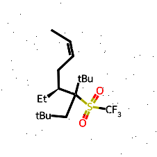 C/C=C\C[C@H](CC)C(CC(C)(C)C)(C(C)(C)C)S(=O)(=O)C(F)(F)F